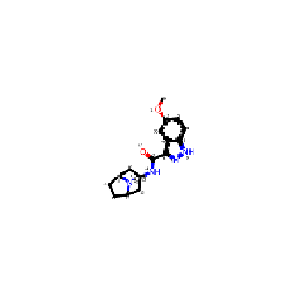 COc1ccc2[nH]nc(C(=O)NC3CC4CCC(C3)N4C)c2c1